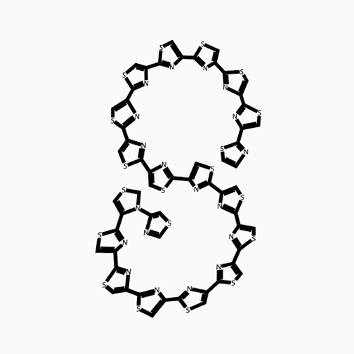 [c]1csc(-c2csc(-c3csc(-c4csc(-c5csc(-c6csc(-c7csc(-c8csc(-c9csc(-c%10csc(-c%11csc(-c%12csc(-c%13csc(-c%14csc(-c%15csc(-c%16csc(-c%17csc(C%18=CSCN%18c%18cscn%18)n%17)n%16)n%15)n%14)n%13)n%12)n%11)n%10)n9)n8)n7)n6)n5)n4)n3)n2)n1